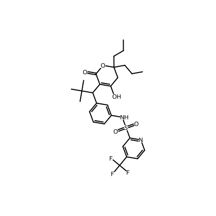 CCCC1(CCC)CC(O)=C(C(c2cccc(NS(=O)(=O)c3cc(C(F)(F)F)ccn3)c2)C(C)(C)C)C(=O)O1